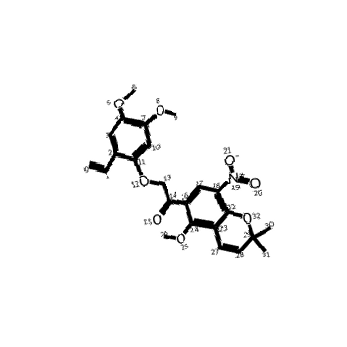 C=Cc1cc(OC)c(OC)cc1OCC(=O)c1cc([N+](=O)[O-])c2c(c1OC)C=CC(C)(C)O2